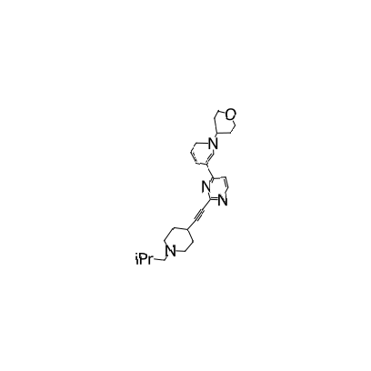 CC(C)CN1CCC(C#Cc2nccc(C3=CN(C4CCOCC4)CC=C3)n2)CC1